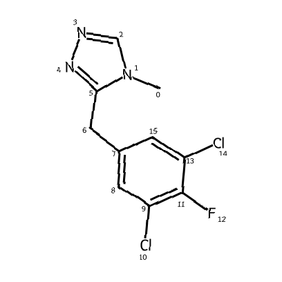 Cn1cnnc1Cc1cc(Cl)c(F)c(Cl)c1